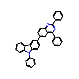 c1ccc(-c2nc(-c3ccccc3)c3cc(-c4ccc5c(c4)c4ccccc4n5-c4ccccc4)ccc3n2)cc1